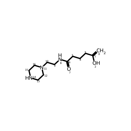 C=C(O)CCCC(=O)NCCN1CCNCC1